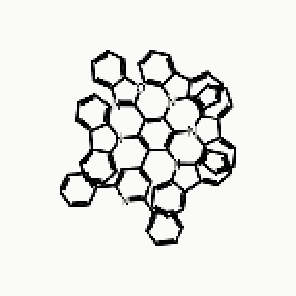 c1ccc(-c2cc(-c3c(-n4c5ccccc5c5ccccc54)c(-c4nc5ccccc5o4)c(-n4c5ccccc5c5ccccc54)c(-n4c5ccccc5c5ccccc54)c3-n3c4ccccc4c4ccccc43)cc(-c3ccccc3)n2)cc1